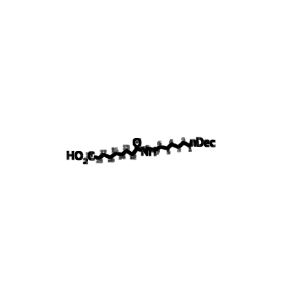 CCCCCCCCCCCCCCCCCCNC(=O)CCCCCCCC(=O)O